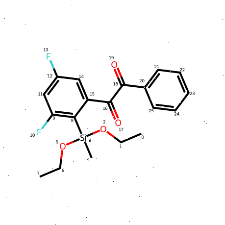 CCO[Si](C)(OCC)c1c(F)cc(F)cc1C(=O)C(=O)c1ccccc1